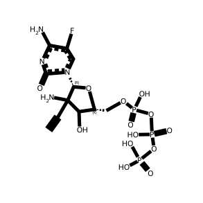 C#CC1(N)C(O)[C@@H](COP(=O)(O)OP(=O)(O)OP(=O)(O)O)O[C@H]1n1cc(F)c(N)nc1=O